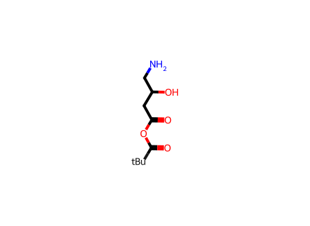 CC(C)(C)C(=O)OC(=O)CC(O)CN